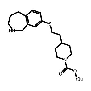 CC(C)(C)OC(=O)N1CCC(CCSc2ccc3c(c2)CNCCC3)CC1